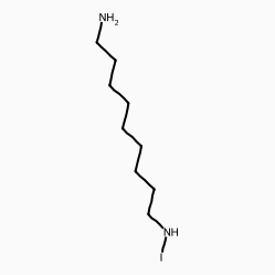 NCCCCCCCCCNI